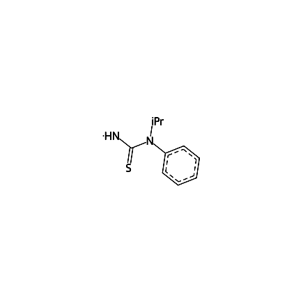 CC(C)N(C([NH])=S)c1ccccc1